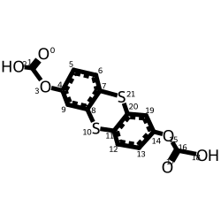 O=C(O)Oc1ccc2c(c1)Sc1ccc(OC(=O)O)cc1S2